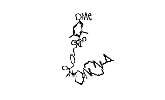 COc1cc(C)c(S(=O)(=O)N(C)CCOCC(=O)N(C)[C@@H]2CCC[C@H](N3CCN(C4CC4)CC3)C2)c(C)c1